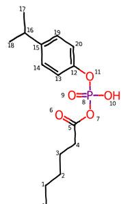 CCCCCC(=O)OP(=O)(O)Oc1ccc(C(C)C)cc1